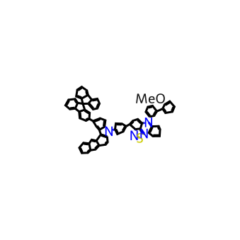 COc1ccccc1-c1cccc(N(c2ccccc2)c2ccc(-c3ccc(-n4c5ccc(-c6ccc7c(c6)C6(c8ccccc8-c8ccccc86)c6ccccc6-7)cc5c5c6cc7ccccc7cc6ccc54)cc3)c3nsnc23)c1